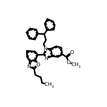 CCCCc1nc2cccc(-c3nc4cc(C(=O)OC)ccc4n3CCC(c3ccccc3)c3ccccc3)c2o1